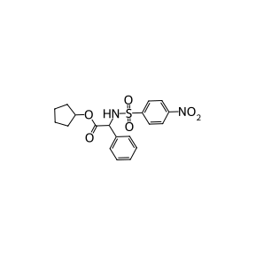 O=C(OC1CCCC1)C(NS(=O)(=O)c1ccc([N+](=O)[O-])cc1)c1ccccc1